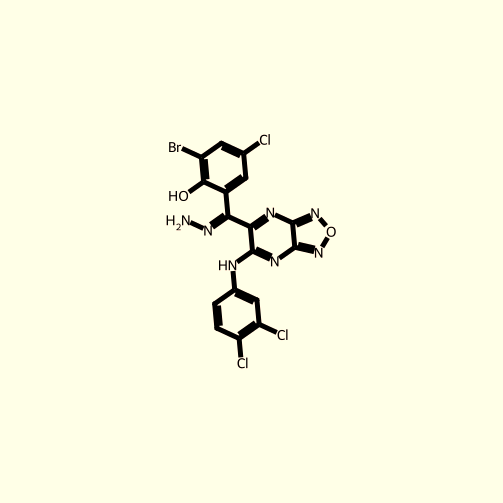 NN=C(c1cc(Cl)cc(Br)c1O)c1nc2nonc2nc1Nc1ccc(Cl)c(Cl)c1